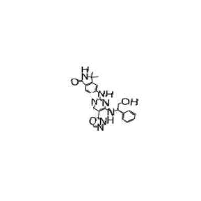 CC1(C)NC(=O)c2ccc(Nc3ncc(-c4nnco4)c(NC(CO)c4ccccc4)n3)cc21